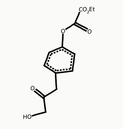 CCOC(=O)C(=O)Oc1ccc(CC(=O)CO)cc1